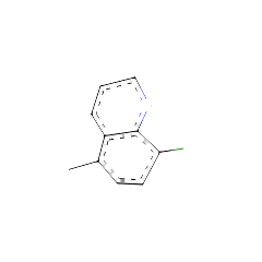 Cc1ccc(Cl)c2ncccc12